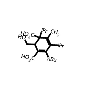 CCCCC1=C(C(=O)O)C(CO)C(C(=O)O)(C(C)C)C(C)=C1C(C)C